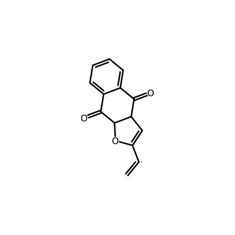 C=[C]C1=CC2C(=O)c3ccccc3C(=O)C2O1